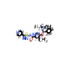 Cc1cc(C(=O)Nc2nnc(-c3ccncc3)s2)cnc1O[C@@H](CN(C)C)c1ccccc1